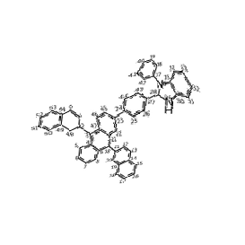 C1=CC(c2c3ccccc3c(-c3ccc4ccccc4c3)c3cc(-c4ccc(C5Nc6ccccc6N5c5ccccc5)cc4)ccc23)Cc2ccccc21